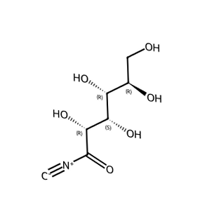 [C-]#[N+]C(=O)[C@H](O)[C@@H](O)[C@H](O)[C@H](O)CO